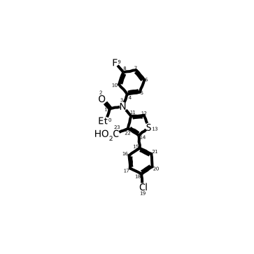 CCC(=O)N(c1cccc(F)c1)c1csc(-c2ccc(Cl)cc2)c1C(=O)O